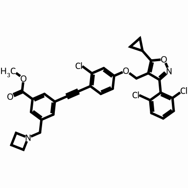 COC(=O)c1cc(C#Cc2ccc(OCc3c(-c4c(Cl)cccc4Cl)noc3C3CC3)cc2Cl)cc(CN2CCC2)c1